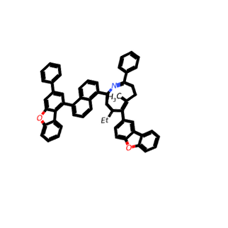 CCC1CC(c2cccc3c(-c4cc(-c5ccccc5)cc5oc6ccccc6c45)cccc23)/N=C(/c2ccccc2)CC/C(C)=C/1c1ccc2oc3ccccc3c2c1